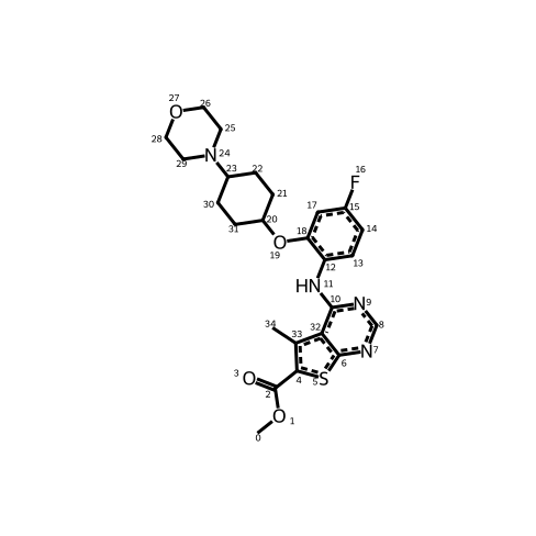 COC(=O)c1sc2ncnc(Nc3ccc(F)cc3OC3CCC(N4CCOCC4)CC3)c2c1C